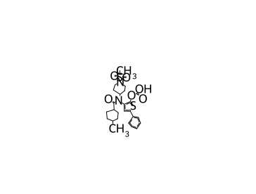 CC1CCC(C(=O)N(c2cc(-c3ccccc3)sc2OC(=O)O)C2CCN(S(C)(=O)=O)CC2)CC1